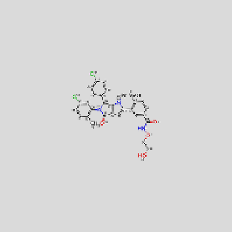 COc1ccc(C(=O)NOCCO)cc1-c1cc2c(n1C(C)C)C(c1ccc(Cl)cc1)N(c1cc(Cl)ccc1C)C2=O